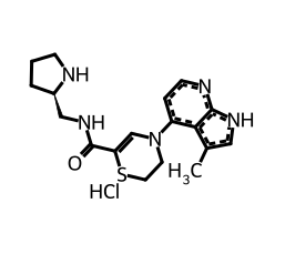 Cc1c[nH]c2nccc(N3C=C(C(=O)NC[C@H]4CCCN4)SCC3)c12.Cl